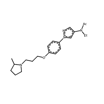 CCN(C(C)=O)c1cnn(-c2ccc(OCCCN3CCCC3C)cc2)c1